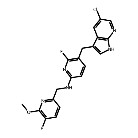 COc1nc(CNc2ccc(Cc3c[nH]c4ncc(Cl)cc34)c(F)n2)ccc1F